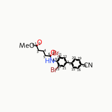 COC(=O)CCCC(=O)Nc1c(Br)cc(-c2ccc(C#N)cc2)cc1Br